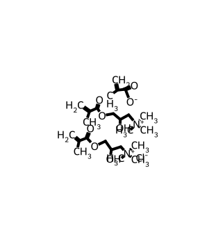 C=C(C)C(=O)OCC(O)C[N+](C)(C)C.C=C(C)C(=O)OCC(O)C[N+](C)(C)C.C=C(C)C(=O)[O-].[Cl-]